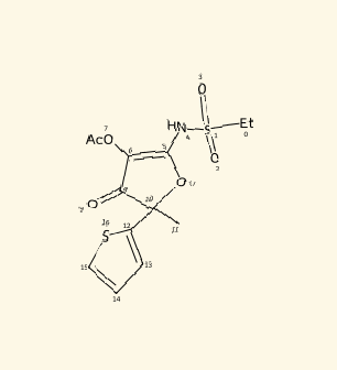 CCS(=O)(=O)NC1=C(OC(C)=O)C(=O)C(C)(c2cccs2)O1